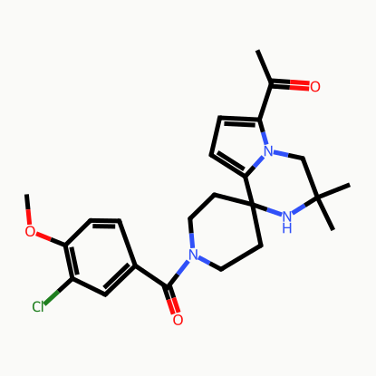 COc1ccc(C(=O)N2CCC3(CC2)NC(C)(C)Cn2c(C(C)=O)ccc23)cc1Cl